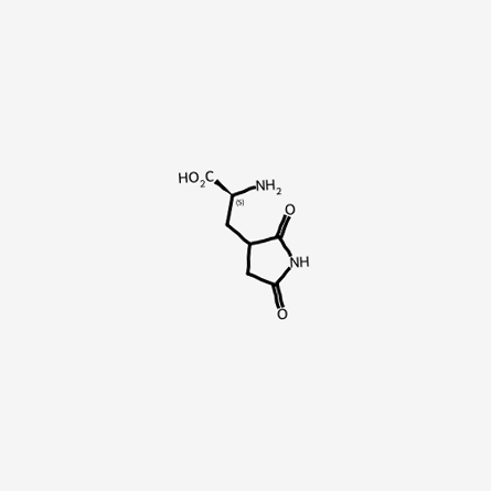 N[C@@H](CC1CC(=O)NC1=O)C(=O)O